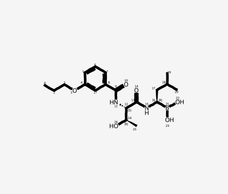 CCCOc1cccc(C(=O)N[C@H](C(=O)N[C@@H](CC(C)C)B(O)O)[C@@H](C)O)c1